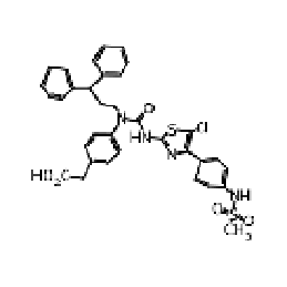 CS(=O)(=O)Nc1ccc(-c2nc(NC(=O)N(CCC(c3ccccc3)c3ccccc3)c3ccc(CC(=O)O)cc3)sc2Cl)cc1